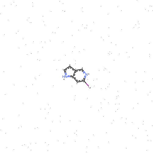 Ic1cc2[nH]ccc2cn1